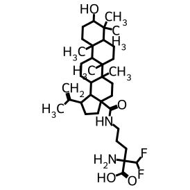 C=C(C)C1CCC2(C(=O)NCCCC(N)(C(=O)O)C(F)F)CCC3(C)C(CCC4C5(C)CCC(O)C(C)(C)C5CCC43C)C12